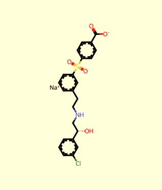 O=C([O-])c1ccc(S(=O)(=O)c2cccc(CCNC[C@H](O)c3cccc(Cl)c3)c2)cc1.[Na+]